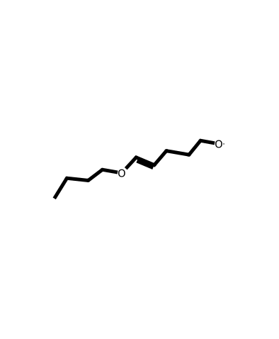 CCCCOC=CCCC[O]